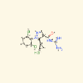 Cl.N=C(N)NC(=O)c1cnn(-c2c(Cl)cccc2Cl)c1C1CC1